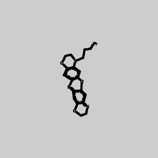 CC(C)CCCN1CCOc2cc3c(cc21)Oc1cc2c(cc1=N3)OCCN=2